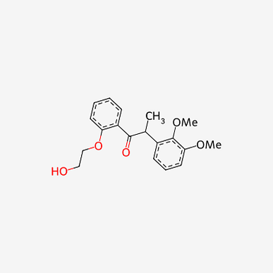 COc1cccc(C(C)C(=O)c2ccccc2OCCO)c1OC